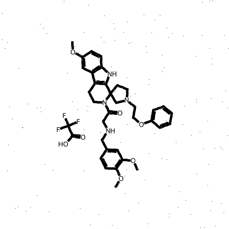 COc1ccc2[nH]c3c(c2c1)CCN(C(=O)CNCc1ccc(OC)c(OC)c1)C31CCN(CCOc2ccccc2)C1.O=C(O)C(F)(F)F